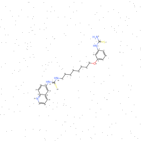 NC(=S)Nc1cccc(OCCCCCCCCNC(=S)Nc2ccc3ncccc3c2)c1